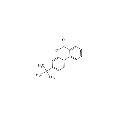 CC(C)(C)c1ccc(-c2ccccc2C(=O)Cl)cc1